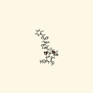 COc1cc(O)c2c3c1C[C@@H]1[C@@H]4CC[C@@H](NCC(=O)NCC(=O)OCc5ccccc5)[C@H](O2)[C@]34CCN1C